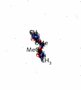 C/C=C1\C[C@H]2C=Nc3cc(OCc4cccc(COc5cc6c(cc5OC)C(=O)N5C/C(=C/C)C[C@H]5C=N6)n4)c(OC)cc3C(=O)N2C1